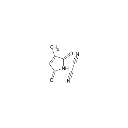 CC1=CC(=O)NC1=O.N#CC#N